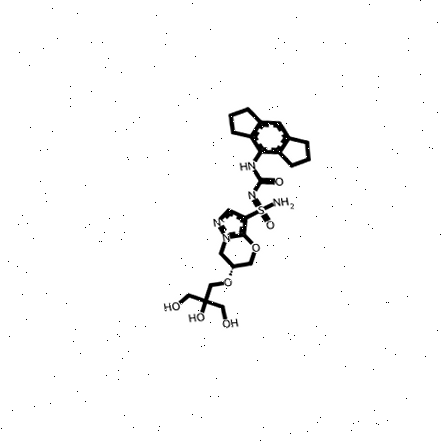 NS(=O)(=NC(=O)Nc1c2c(cc3c1CCC3)CCC2)c1cnn2c1OC[C@H](OCC(O)(CO)CO)C2